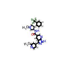 Cc1cc(-c2n[nH]c3ncc(C(=O)N[C@H]4CN(C)C[C@@H]4c4ccccc4C(F)(F)F)cc23)ccn1